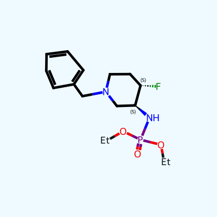 CCOP(=O)(N[C@H]1CN(Cc2ccccc2)CC[C@@H]1F)OCC